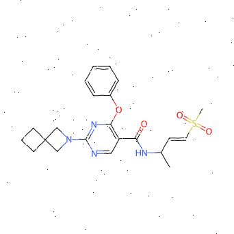 CC(C=CS(C)(=O)=O)NC(=O)c1cnc(N2CC3(CCC3)C2)nc1Oc1ccccc1